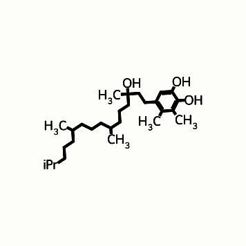 Cc1c(CCC(C)(O)CCCC(C)CCCC(C)CCCC(C)C)cc(O)c(O)c1C